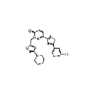 O=c1ccc(-c2nsc(-c3cccc(Cl)c3)n2)nn1Cc1nc(N2CCCCC2)no1